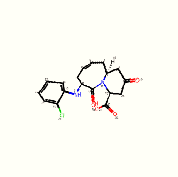 O=C1C[C@@H]2C/C=C\C[C@H](Nc3ccccc3Cl)C(=O)N2[C@H](C(=O)O)C1